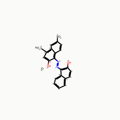 O=[N+]([O-])c1ccc2c(/N=N/c3c(O)ccc4ccccc34)c(O)cc(S(=O)(=O)O)c2c1.[Cr]